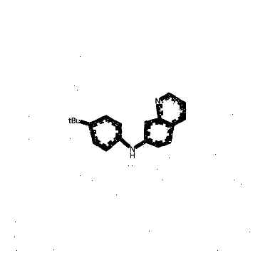 CC(C)(C)c1ccc(Nc2ccc3cccnc3c2)cc1